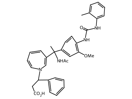 COc1cc(C(C)(NC(C)=O)C2=CN(C(CC(=O)O)c3ccccc3)C=CC=C2)ccc1NC(=O)Nc1ccccc1C